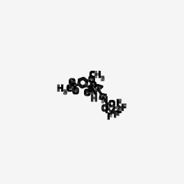 COc1ccc(S(C)(=O)=O)cc1S(=O)(=O)NC1(C2CN(C(=O)OC(C(F)(F)F)C(F)(F)F)C2)CC1